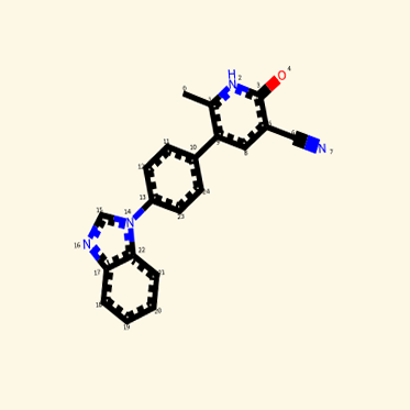 Cc1[nH]c(=O)c(C#N)cc1-c1ccc(-n2cnc3ccccc32)cc1